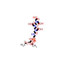 CC(=O)OC[C@@H](COP(=O)(O)OCCNC(=O)CN(CCN(CCN(CC(=O)O)CC(=O)O)CC(=O)O)CC(=O)O)OC(C)=O